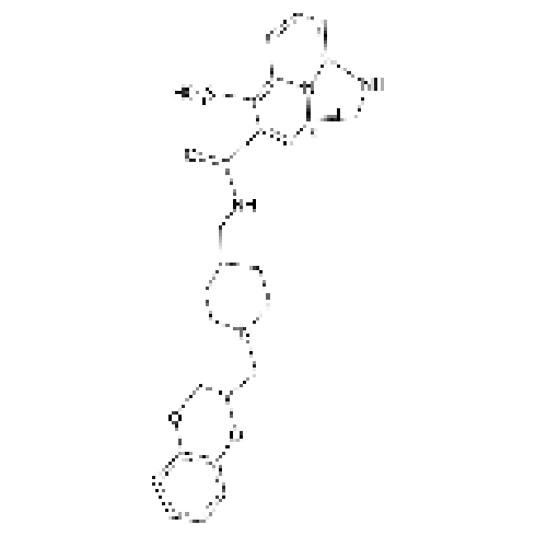 O=C(NCC1CCN(CC2COc3ccccc3O2)CC1)C1=C[C@@H]2CNC3=CC=CC(=C1S(=O)(=O)O)N32